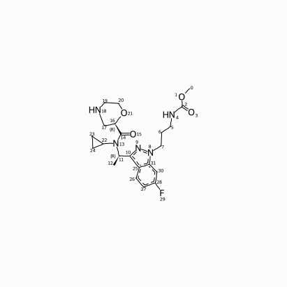 COC(=O)NCCCn1nc([C@@H](C)N(C(=O)[C@H]2CNCCO2)C2CC2)c2ccc(F)cc21